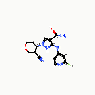 N#CC1COCCC1n1cc(C(N)=O)c(Nc2ccnc(F)c2)n1